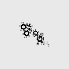 CC(C)(C)[Si](OC[C@@H]1CC[C@H](n2cc(F)c(N)nc2=O)O1)(c1ccccc1)c1ccccc1